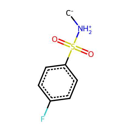 [CH2-][NH2+]S(=O)(=O)c1ccc(F)cc1